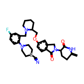 C=C1CCC(N2Cc3cc(OCC4CCCCN4Cc4cc(F)ccc4N4CCB(C#N)CC4)ccc3C2=O)C(=O)N1